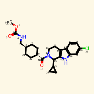 CC(C)(C)OC(=O)NC[C@H]1CC[C@H](C(=O)N2CCc3c([nH]c4cc(Cl)ccc34)C2C2CC2)CC1